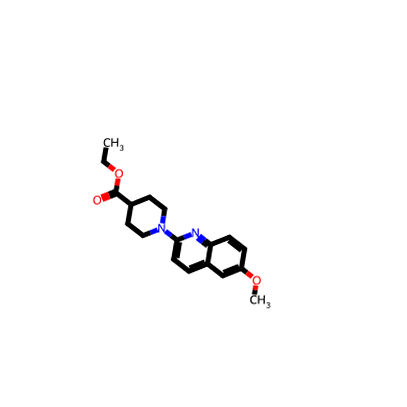 CCOC(=O)C1CCN(c2ccc3cc(OC)ccc3n2)CC1